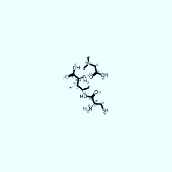 CC[C@H](C)[C@H](N)C(=O)O.CN(C)CC(=O)O.N[C@@H](CS)C(=O)O